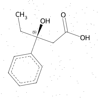 CC[C@](O)(CC(=O)O)c1ccccc1